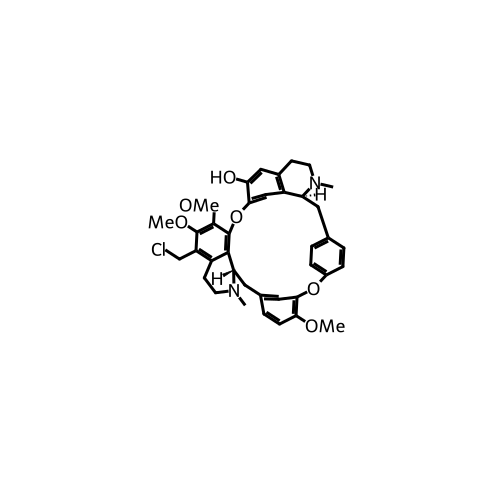 COc1ccc2cc1Oc1ccc(cc1)C[C@H]1c3cc(c(O)cc3CCN1C)Oc1c(OC)c(OC)c(CCl)c3c1[C@H](C2)N(C)CC3